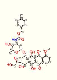 COc1cccc2c1C(=O)c1c(O)c3c(c(O)c1C2=O)C[C@@](O)(C(=O)CO)CC3O[C@H]1C[C@@H](NC(=O)OCc2ccc(C)cc2)C(O)[C@H](C)O1